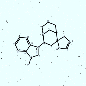 Cn1cc(C2CC3(CN=CO3)C3CCCN2C3)c2ccccc21